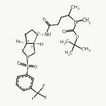 CC(CCC(=O)N[C@H]1CC[C@@H]2CN(S(=O)(=O)c3cccc(C(F)(F)F)c3)C[C@@H]21)N(C)C(=O)OC(C)(C)C